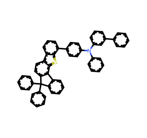 c1ccc(-c2cccc(N(c3ccccc3)c3ccc(-c4cccc5c4sc4c6c(ccc45)C(c4ccccc4)(c4ccccc4)c4ccccc4-6)cc3)c2)cc1